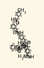 Cc1ccc(CNC(=O)Cc2cccc(CC(=O)NCc3ccc(C[C@H](NC(=O)CNS(=O)(=O)Cc4ccccc4)C(=O)NCc4ccc(C(=N)N)cc4)cc3)c2)cc1